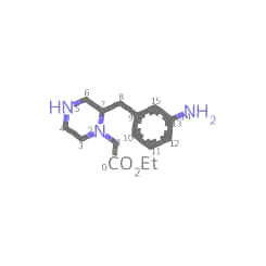 CCOC(=O)CN1CCNCC1Cc1cccc(N)c1